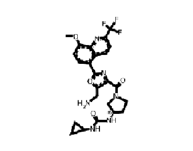 COc1ccc(-c2nc(C(=O)N3CC[C@@H](NC(=O)NC4CC4)C3)c(CN)o2)c2ccc(C(F)(F)F)nc12